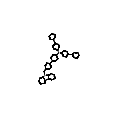 c1ccc(-c2ccc(N(c3ccc(-c4ccccc4)cc3)c3ccc(-c4ccc(Cn5c6ccccc6c6ccccc65)cc4)cc3)cc2)cc1